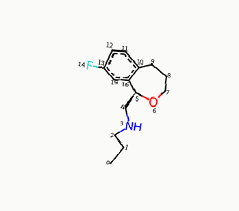 CCCNC[C@@H]1OCCCc2ccc(F)cc21